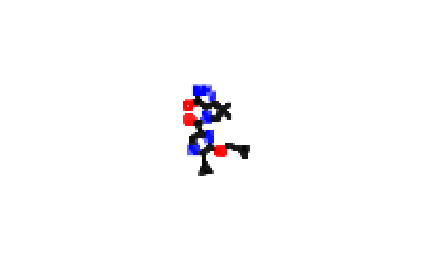 CC1(C)CC(C(N)=O)N(C(=O)c2cnc(C3CC3)c(OCC3CC3)n2)C1